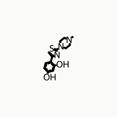 CN1CCN(c2nc(-c3ccc(O)cc3O)cs2)CC1